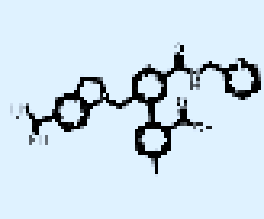 Cc1ccc(-c2cc(C(=O)NCc3ccccn3)ccc2CN2CCc3cc(C(=N)N)ccc32)c(C(=O)O)c1